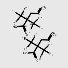 C=CCC(C(=O)O)(C(F)(F)F)C(F)(F)F.C=CCC(C(=O)O)(C(F)(F)F)C(F)(F)F